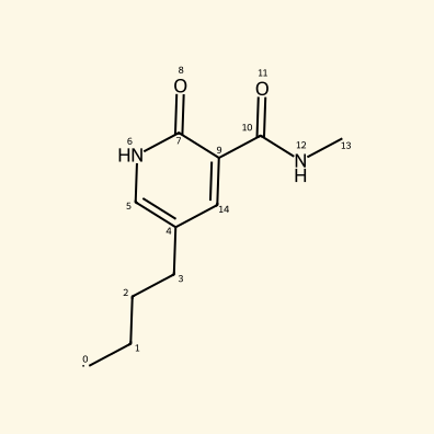 [CH2]CCCc1c[nH]c(=O)c(C(=O)NC)c1